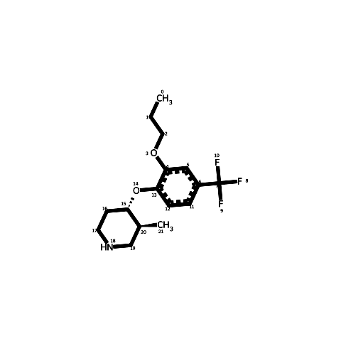 CCCOc1cc(C(F)(F)F)ccc1O[C@H]1CCNC[C@@H]1C